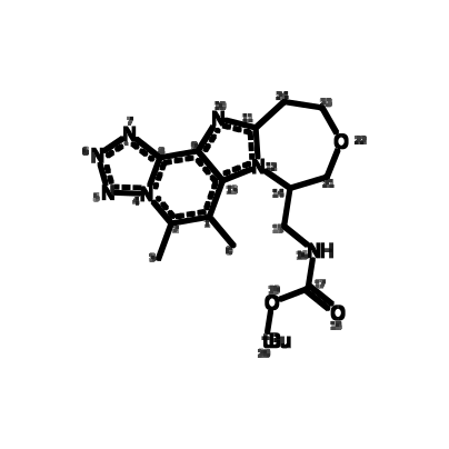 Cc1c(C)n2nnnc2c2nc3n(c12)C(CNC(=O)OC(C)(C)C)COCC3